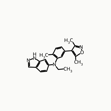 CCN(c1ccc2cn[nH]c2c1)c1cc(-c2c(C)noc2C)ccc1C